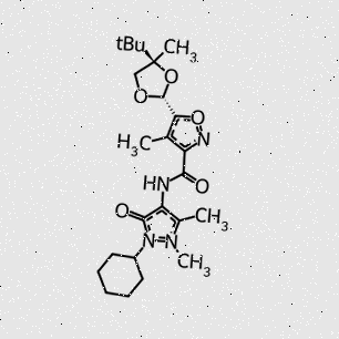 Cc1c(C(=O)Nc2c(C)n(C)n(C3CCCCC3)c2=O)noc1[C@@H]1OC[C@@](C)(C(C)(C)C)O1